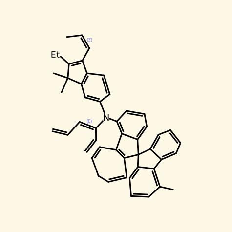 C=C/C=C(\C=C)N(c1ccc2c(c1)C(C)(C)C(CC)=C2/C=C\C)c1cccc2c1C1=C(C=CCC=C1)C21c2ccccc2-c2c(C)cccc21